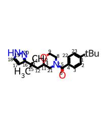 CC(C)(C)c1ccc(C(=O)N2CCOC(CC(C)(C)c3cc[nH]n3)C2)cc1